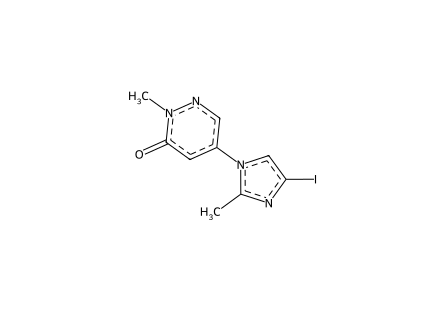 Cc1nc(I)cn1-c1cnn(C)c(=O)c1